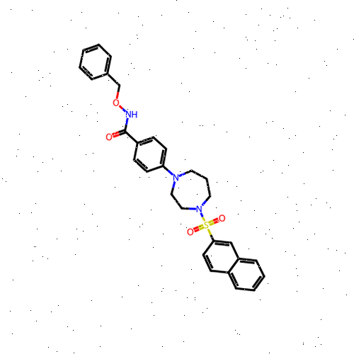 O=C(NOCc1ccccc1)c1ccc(N2CCCN(S(=O)(=O)c3ccc4ccccc4c3)CC2)cc1